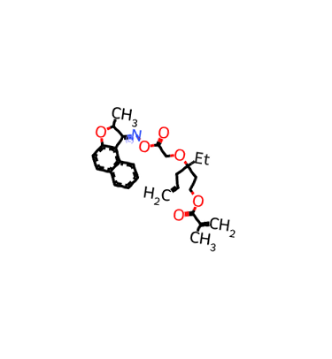 C=CCC(CC)(CCOC(=O)C(=C)C)OCC(=O)O/N=C1\c2c(ccc3ccccc23)OC1C